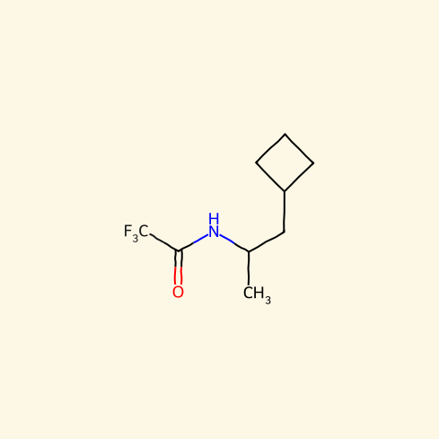 CC(CC1CCC1)NC(=O)C(F)(F)F